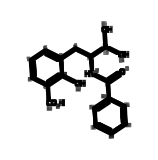 O=C(NC(Cc1cccc(C(=O)O)c1O)B(O)O)c1ccccc1